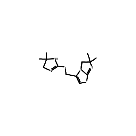 CC1(C)CN2C(CSC3=NCC(C)(C)N3)=CSC2=N1